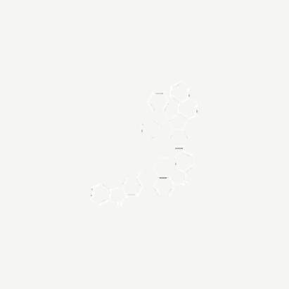 c1ccc(C2(c3ccccc3)c3cc(CCC(Cc4ccc5oc6ccccc6c5c4)c4cccc5oc6ccccc6c45)ccc3-c3ccc4ccccc4c32)cc1